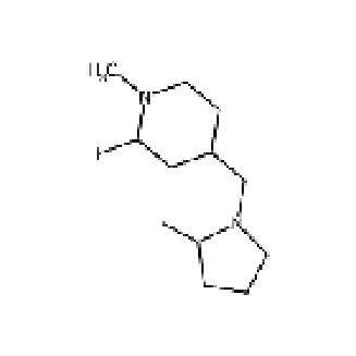 CN1CCC(CN2CCCC2I)CC1I